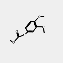 COC(=O)Oc1ccc(OC)c(OC)c1